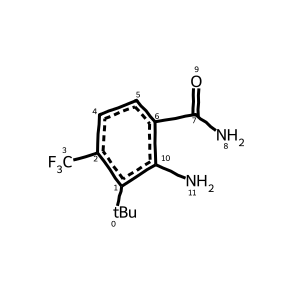 CC(C)(C)c1c(C(F)(F)F)ccc(C(N)=O)c1N